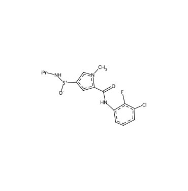 CC(C)N[S+]([O-])c1cc(C(=O)Nc2cccc(Cl)c2F)n(C)c1